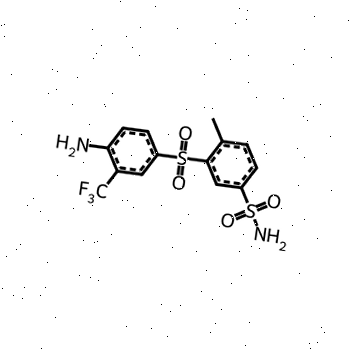 Cc1ccc(S(N)(=O)=O)cc1S(=O)(=O)c1ccc(N)c(C(F)(F)F)c1